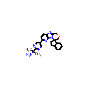 CC(C)(N)c1ncc(-c2ccc3nc4n(c3n2)C2(CCc3ccccc32)COC4)cn1